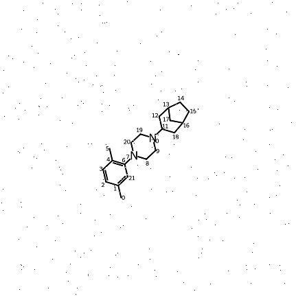 Cc1ccc(C)c(N2CCN(C3CC4CCC(C4)C3)CC2)c1